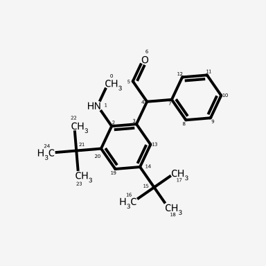 CNc1c(C(C=O)c2ccccc2)cc(C(C)(C)C)cc1C(C)(C)C